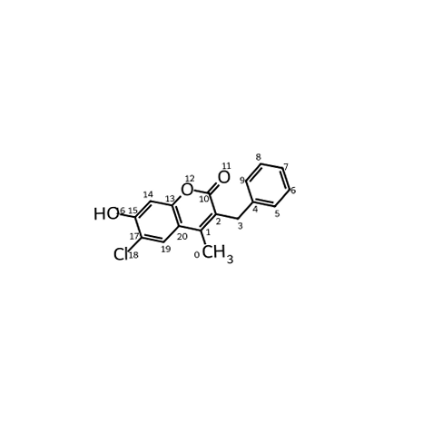 Cc1c(Cc2ccccc2)c(=O)oc2cc(O)c(Cl)cc12